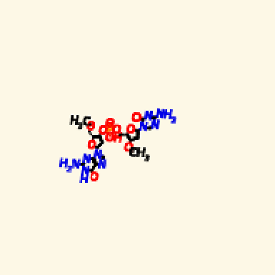 COC[C@H]1O[C@@H](n2cnc3c(=O)[nH]c(N)nc32)C[C@H]1OP(=O)(O)OC[C@H]1O[C@@H](n2cnc(N)nc2=O)C[C@H]1OC